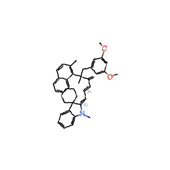 C=C(/C=C/C=C1/N(C)c2ccccc2C12CCCCC2)C(C)(Cc1cc(OC)cc(OC)c1)c1c(C)ccc2ccccc12